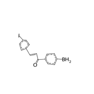 Bc1ccc(C(=O)/C=C/c2ccc(I)cc2)cc1